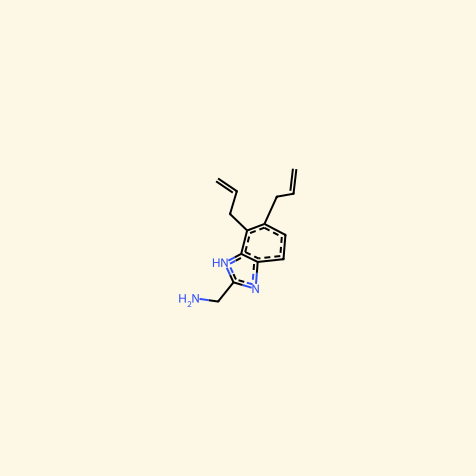 C=CCc1ccc2nc(CN)[nH]c2c1CC=C